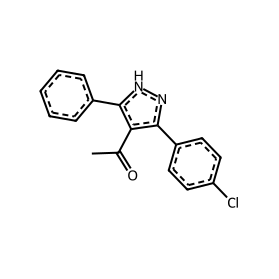 CC(=O)c1c(-c2ccc(Cl)cc2)n[nH]c1-c1ccccc1